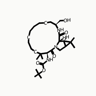 CC(C)(C)OC(=O)N[C@@H]1C(=O)N2CC3[C@@H]([C@H]2C(=O)N[C@H](CO)CCCCCCCCCC1(C)C)C3(C)C